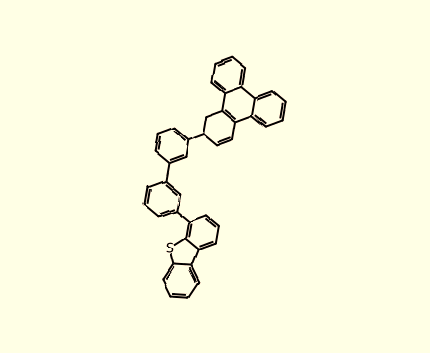 C1=CC(c2cccc(-c3cccc(-c4cccc5c4sc4ccccc45)c3)c2)Cc2c1c1ccccc1c1ccccc21